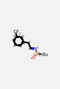 CC(C)(C)[S+]([O-])/N=C/Cc1cccc(C(F)(F)F)c1